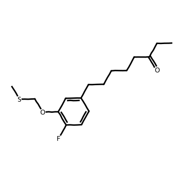 CCC(=O)CCCCCc1ccc(F)c(OCSC)c1